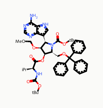 COCO[C@@H]1[C@H](OC(=O)[C@@H](NC(=O)OC(C)(C)C)C(C)C)[C@@H](COC(c2ccccc2)(c2ccccc2)c2ccccc2)N(C(=O)OC(C)(C)C)[C@H]1c1c[nH]c2c(N)ncnc12